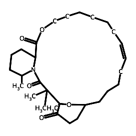 CC1CCCC2C(=O)OCCCCCCC=CCCCCC3CCC(=O)C(C)(O3)C(C)(C)C(=O)N12